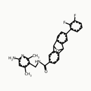 Cc1cc(N)nc(C)c1CNC(=O)c1ccc2c(c1)C1OC2c2cc(-c3cccc(F)c3F)ccc21